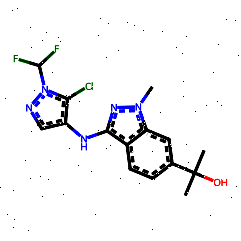 Cn1nc(Nc2cnn(C(F)F)c2Cl)c2ccc(C(C)(C)O)cc21